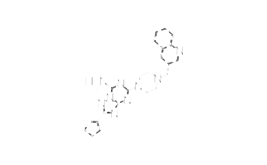 Nc1nc(N2CCN(Cc3cnc4ccccc4c3)CC2)nc2nc(-c3ccco3)nn12